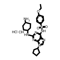 CCOc1ccc(S(=O)(=O)Nc2nc(NC3CCC(N)CC3)nc3c2ncn3C2CCCC2)cc1.Cl.Cl